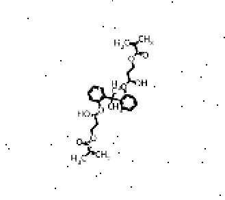 C=C(C)C(=O)OCCC(O)Oc1ccccc1C(C)(C)c1ccccc1OC(O)CCOC(=O)C(=C)C